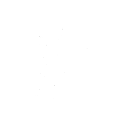 COC(=O)c1cc(-n2nc(C)cc2-c2ccccc2)ccc1NC(=O)/C=C(/C)c1ccc2ccccc2c1